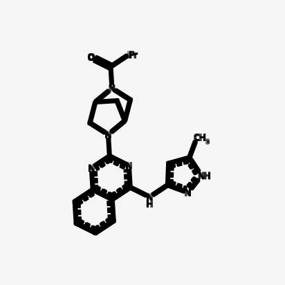 Cc1cc(Nc2nc(N3CC4CC3CN4C(=O)C(C)C)nc3ccccc23)n[nH]1